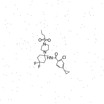 CCCS(=O)(=O)N1CCN(C2(CNC(=O)c3ccc(C4CC4)cc3Cl)CCC(F)(F)CC2)CC1